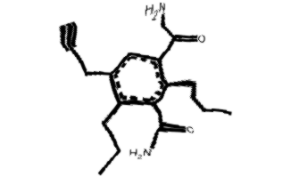 C#CCc1cc(C(N)=O)c(CCC)c(C(N)=O)c1CCC